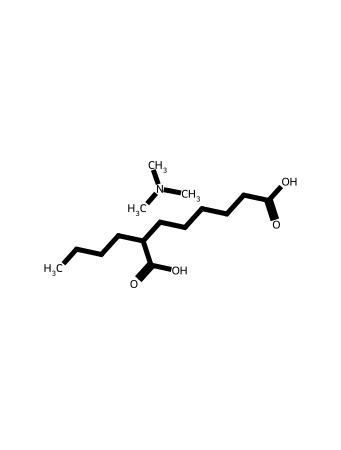 CCCCC(CCCCCC(=O)O)C(=O)O.CN(C)C